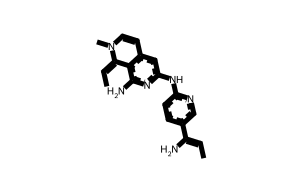 C/C=C(\N)c1ccc(Nc2cc3c(c(N)n2)/C(=C\C)N(C)C=C3)nc1